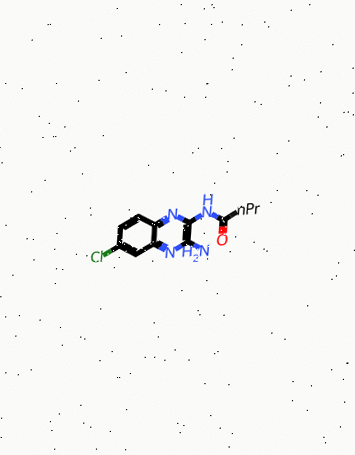 CCCC(=O)Nc1nc2ccc(Cl)cc2nc1N